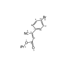 CC(C)OC(=O)C=C(C#N)c1ccc(Br)cc1